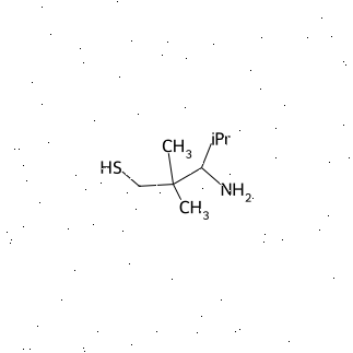 CC(C)C(N)C(C)(C)CS